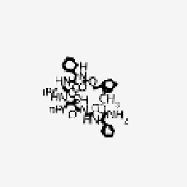 CCCC(NC(=O)[C@H](CC(C)C)NC(=O)[C@@H](NC(=O)OCC1C2CCC(C2)C1C)C1CCCCC1)C(=O)C(=O)NCC(=O)N[C@H](C(N)=O)c1ccccc1